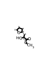 COC(=O)C(O)C[C@H]1CCCO1